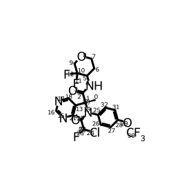 C[C@](C(=O)NC1CCOCC1(F)F)(c1cncnc1)N(C(=O)[C@H](F)Cl)c1ccc(OC(F)(F)F)cc1